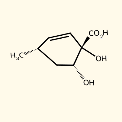 C[C@@H]1C=C[C@@](O)(C(=O)O)[C@H](O)C1